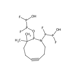 CC1(C)CCC#CCCN(P(F)P(O)F)P1OP(F)P(O)F